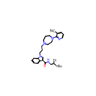 CCCCC(CC)CNC(=O)c1cn(CCCN2CCCN(c3ncccc3C#N)CC2)c2ccccc12